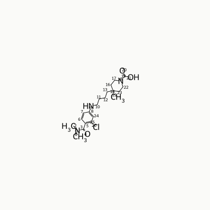 CN(C)C(=O)c1ccc(NCCCCC2(C)CCN(C(=O)O)CC2)cc1Cl